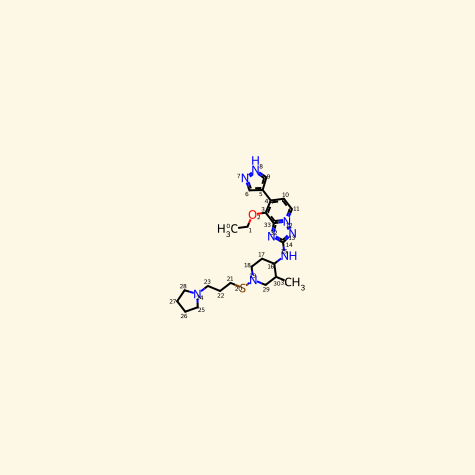 CCOc1c(-c2cn[nH]c2)ccn2nc(NC3CCN(SCCCN4CCCC4)CC3C)nc12